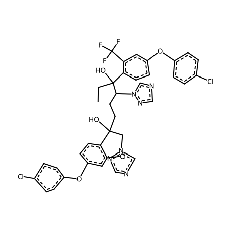 CCC(O)(c1ccc(Oc2ccc(Cl)cc2)cc1C(F)(F)F)C(CCC(O)(Cn1cncn1)c1ccc(Oc2ccc(Cl)cc2)cc1Cl)n1cncn1